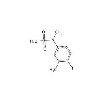 Cc1cc(N(C)S(C)(=O)=O)ccc1I